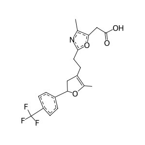 CC1=C(CCc2nc(C)c(CC(=O)O)o2)CC(c2ccc(C(F)(F)F)cc2)O1